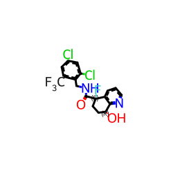 O=C(NCc1c(Cl)cc(Cl)cc1C(F)(F)F)[C@]1(F)CC[C@@H](O)c2ncccc21